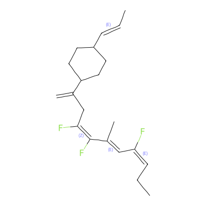 C=C(C\C(F)=C(F)/C(C)=C/C(F)=C\CC)C1CCC(/C=C/C)CC1